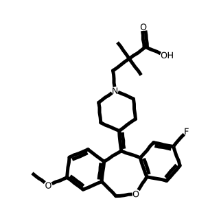 COc1ccc2c(c1)COc1ccc(F)cc1C2=C1CCN(CC(C)(C)C(=O)O)CC1